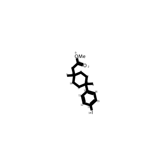 COC(=O)CC1(C)CCC(C)(c2ccc(I)cc2)CC1